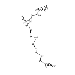 CCCCCCCCCCCCCCCCCCCC(=O)OCCS(=O)(=O)O